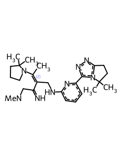 CNCC(=N)/C(CNc1cccc(-c2nnc3n2C(C)(C)CC3)n1)=C(/C)N1CCCC1(C)C